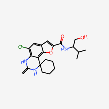 C=C1Nc2c(Cl)cc3cc(C(=O)NC(CO)C(C)C)oc3c2C2(CCCCC2)N1